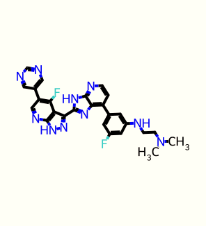 CN(C)CCNc1cc(F)cc(-c2ccnc3[nH]c(-c4n[nH]c5ncc(-c6cncnc6)c(F)c45)nc23)c1